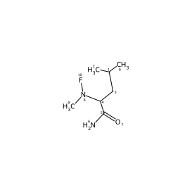 CC(C)CC(C(N)=O)N(C)F